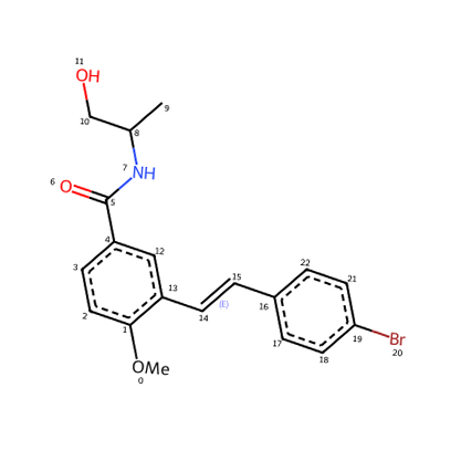 COc1ccc(C(=O)NC(C)CO)cc1/C=C/c1ccc(Br)cc1